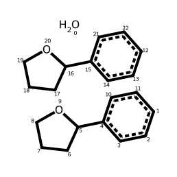 O.c1ccc(C2CCCO2)cc1.c1ccc(C2CCCO2)cc1